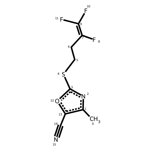 Cc1nc(SCCC(F)=C(F)F)oc1C#N